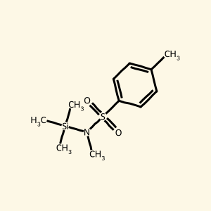 Cc1ccc(S(=O)(=O)N(C)[Si](C)(C)C)cc1